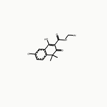 CC(=O)CNC(=O)C1=C(O)c2cc(Cl)ccc2C(C)(C)C1=O